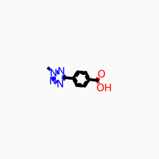 Cn1nnc(-c2ccc(C(=O)O)cc2)n1